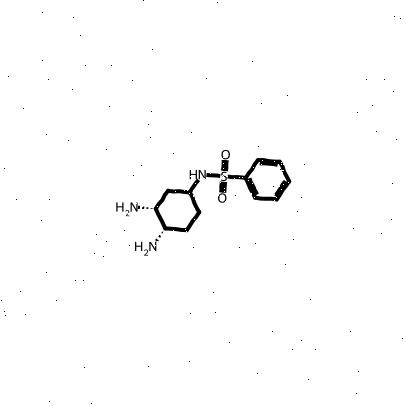 N[C@@H]1CC(NS(=O)(=O)c2ccccc2)CC[C@@H]1N